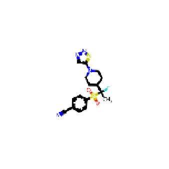 CC(F)(C1CCN(c2cnns2)CC1)S(=O)(=O)c1ccc(C#N)cc1